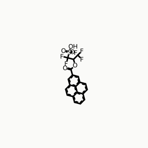 O=C(OC(C(F)(F)F)C(F)(F)S(=O)(=O)O)c1cc2ccc3cccc4ccc(c1)c2c34